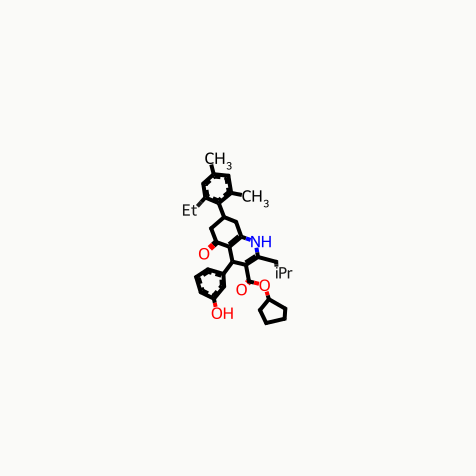 CCc1cc(C)cc(C)c1C1CC(=O)C2=C(C1)NC(CC(C)C)=C(C(=O)OC1CCCC1)C2c1cccc(O)c1